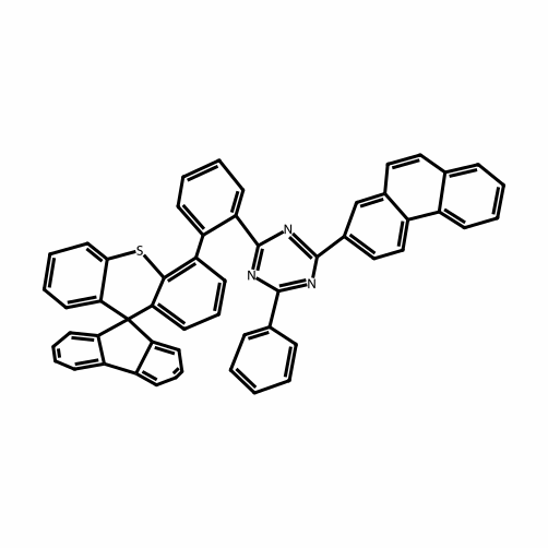 c1ccc(-c2nc(-c3ccc4c(ccc5ccccc54)c3)nc(-c3ccccc3-c3cccc4c3Sc3ccccc3C43c4ccccc4-c4ccccc43)n2)cc1